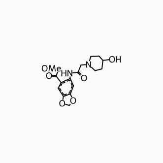 COC(=O)c1cc2c(cc1NC(=O)CN1CCC(O)CC1)OCO2